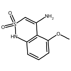 COc1cccc2c1C(N)=CS(=O)(=O)N2